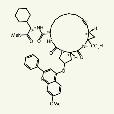 CNC(=O)[C@@H](NC(=O)[C@@H]1CCCCC/C=C\[C@@H]2CC2(C(=O)O)NC(=O)[C@@H]2CC(Oc3cc(-c4ccccc4)nc4cc(OC)ccc34)CN2C(=O)N1)C1CCCCC1